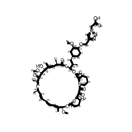 CO[C@H]1C[C@@H]2CC[C@@H](C)[C@@](O)(O2)C(=O)C(=O)N2CCCC[C@H]2C(=O)O[C@H]([C@H](C)C[C@@H]2CC[C@@H](OCc3cn(CC(=O)O)nn3)[C@H](OC)C2)CC(=O)[C@H](C)/C=C(\C)[C@@H](O)[C@@H](OC)C(=O)[C@H](C)C[C@H](C)/C=C/C=C/C=C/1C